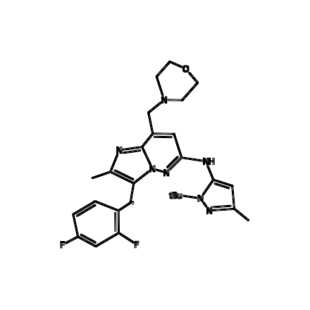 Cc1cc(Nc2cc(CN3CCOCC3)c3nc(C)c([C]c4ccc(F)cc4F)n3n2)n(C(C)(C)C)n1